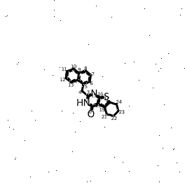 O=c1[nH]c(Cc2cccc3ccccc23)nc2sc3c(c12)CCCC3